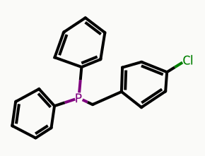 Clc1ccc(CP(c2ccccc2)c2ccccc2)cc1